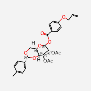 C=CCOc1ccc(C(=O)O[C@@H]2O[C@@H]3CO[C@@H](c4ccc(C)cc4)O[C@H]3[C@H](OC(C)=O)[C@H]2OC(C)=O)cc1